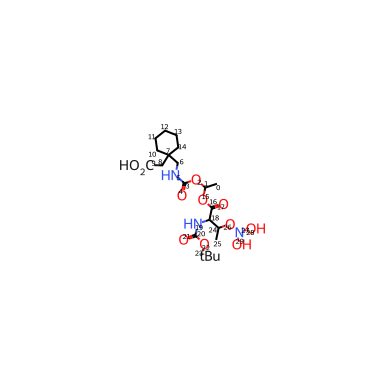 CC(OC(=O)NCC1(CC(=O)O)CCCCC1)OC(=O)C(NC(=O)OC(C)(C)C)C(C)ON(O)O